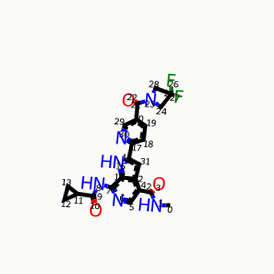 CNC(=O)c1cnc(NC(=O)C2CC2)c2[nH]c(-c3ccc(C(=O)N4CC(F)(F)C4)cn3)cc12